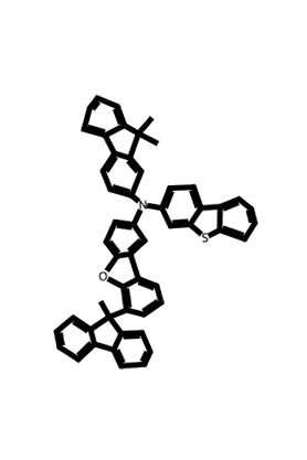 CC1(C)c2ccccc2-c2ccc(N(c3ccc4c(c3)sc3ccccc34)c3ccc4oc5c(C6(C)c7ccccc7-c7ccccc76)cccc5c4c3)cc21